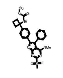 CNc1nc(S(C)(=O)=O)nc2oc(-c3ccc(C4(NC(=O)OC(C)(C)C)CCC4)cc3)c(-c3ccccc3)c12